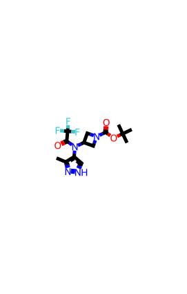 Cc1n[nH]cc1N(C(=O)C(F)(F)F)C1CN(C(=O)OC(C)(C)C)C1